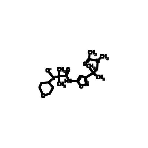 CC(=O)N(C)CC(C)(C)c1cc(NC(=O)C(C)(C)[S+]([O-])C2CCOCC2)on1